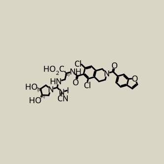 N#CN(I)C(NC[C@H](NC(=O)c1c(Cl)cc2c(c1Cl)CCN(C(=O)c1ccc3ccoc3c1)C2)C(=O)O)N1C[C@@H](O)[C@H](O)C1